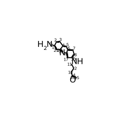 Nc1ccc2cc3ccc(NCCCC4CO4)cc3nc2c1